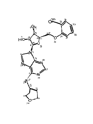 O[C@@H]1[C@H](O)[C@H](n2cnc3c(NC4CCOC4)ncnc32)O[C@@H]1COc1ccccc1Cl